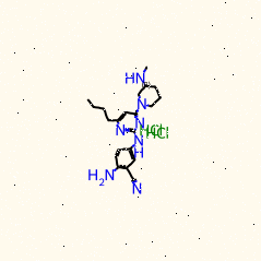 CCCCc1cc(N2CCC[C@@H](NC)C2)nc(Nc2ccc(N)c(C#N)c2)n1.Cl.Cl